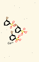 O=S(=O)([O-])c1cccc(Br)c1.O=S(=O)([O-])c1cccc(Br)c1.O=S(=O)([O-])c1cccc(Br)c1.[Ga+3]